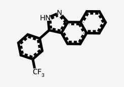 FC(F)(F)c1cccc(-c2[nH]nc3c2ccc2ccccc23)c1